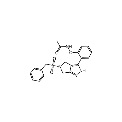 CC(=O)NOc1ccccc1-c1[nH]nc2c1CN(S(=O)(=O)Cc1ccccc1)C2